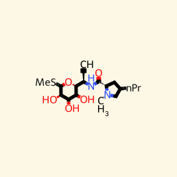 C#C[C@@H](NC(=O)[C@@H]1CC(CCC)CN1C)[C@H]1OC(SC)[C@H](O)C(O)C1O